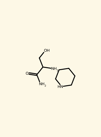 C1CCNCC1.NC(=O)C(N)CO